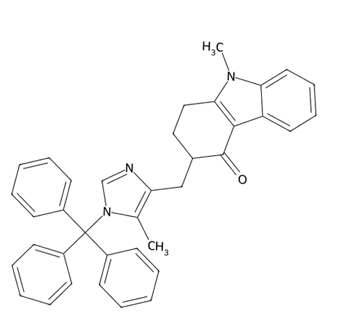 Cc1c(CC2CCc3c(c4ccccc4n3C)C2=O)ncn1C(c1ccccc1)(c1ccccc1)c1ccccc1